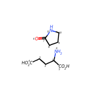 NC(CCC(=O)O)C(=O)O.O=C1CCCN1